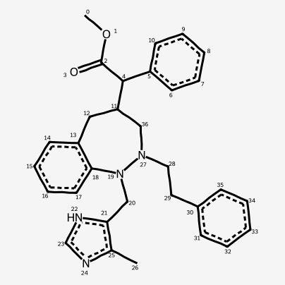 COC(=O)C(c1ccccc1)C1Cc2ccccc2N(Cc2[nH]cnc2C)N(CCc2ccccc2)C1